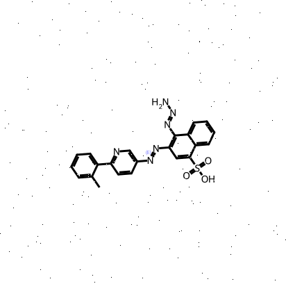 Cc1ccccc1-c1ccc(/N=N/c2cc(S(=O)(=O)O)c3ccccc3c2N=NN)cn1